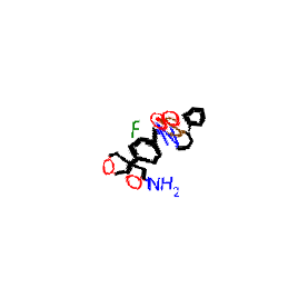 NC(=O)CC1(c2ccc(CN3CCC[C@H](c4ccccc4)S3(=O)=O)c(F)c2)CCOCC1